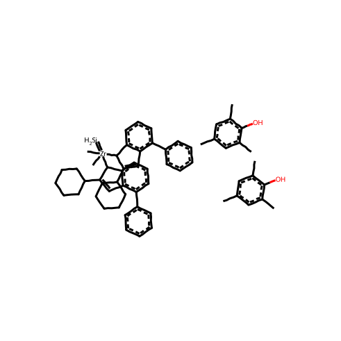 Cc1cc(C)c(O)c(C)c1.Cc1cc(C)c(O)c(C)c1.[CH3][Zr]([CH3])(=[SiH2])([CH]1C(C2CCCCC2)=Cc2c(-c3ccccc3)cccc21)[CH]1C(C2CCCCC2)=Cc2c(-c3ccccc3)cccc21